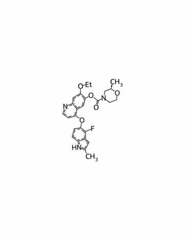 CCOc1cc2nccc(Oc3ccc4[nH]c(C)cc4c3F)c2cc1OC(=O)N1CCO[C@H](C)C1